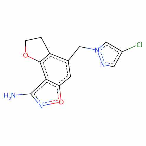 Nc1noc2cc(Cn3cc(Cl)cn3)c3c(c12)OCC3